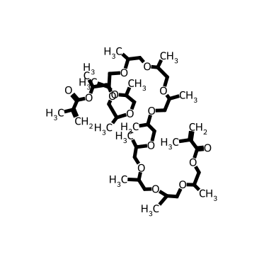 C=C(C)C(=O)OCC(C)OCC(C)OCC(C)OCC(C)OCC(C)OCC(C)OCC(C)OCC(C)OCC(C)OCC(C)OCC(C)OCC(C)OC(=O)C(=C)C